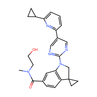 CN(CCO)C(=O)c1ccc2c(c1)N(c1ncc(-c3cccc(C4CC4)n3)cn1)CC21CC1